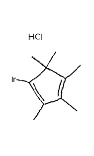 CC1=C(C)C(C)(C)[C]([Ir])=C1C.Cl